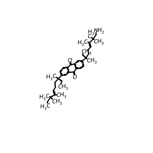 CCC(C)(C)/C(C)=C/CCC(C)(CC)c1ccc2c(c1)C(=O)c1ccc(C(C)(CC)CC/C=C(\C)C(C)(C)CN)cc1C2=O